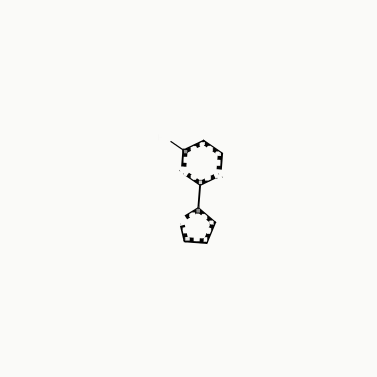 Oc1ccnc(-c2ccco2)n1